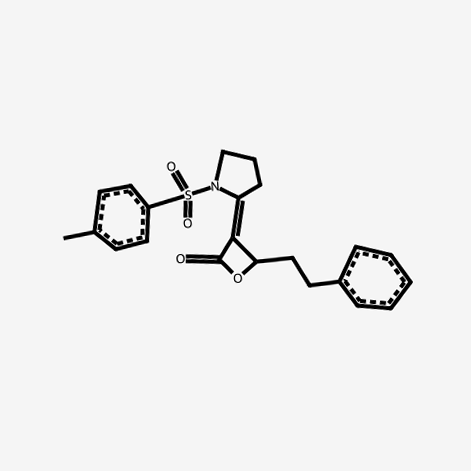 Cc1ccc(S(=O)(=O)N2CCCC2=C2C(=O)OC2CCc2ccccc2)cc1